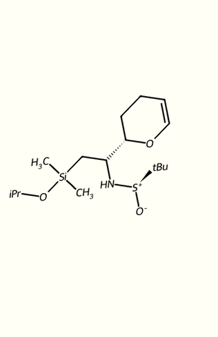 CC(C)O[Si](C)(C)CC(N[S@+]([O-])C(C)(C)C)[C@@H]1CCC=CO1